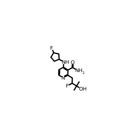 CC(C)(O)C(F)Cc1nccc(NC2CCC(F)C2)c1C(N)=O